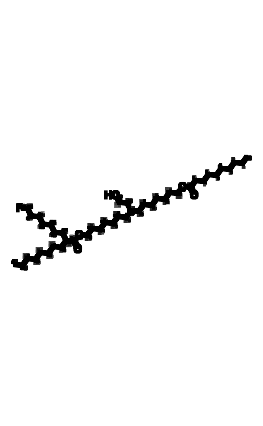 CCCCCCCCCC(=O)OCCCCCCCN(CCO)CCCCCCCOC(=O)C(CCCCCCCC)CCCCCCCF